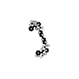 COC(=O)N[C@@H](C(=O)N1CCC[C@H]1C(=O)Nc1cc2sc(-c3cc4sc(NC(=O)[C@@H]5CCCN5C(=O)[C@H](NC(=O)O)c5ccccc5)cc4s3)cc2s1)c1ccccc1